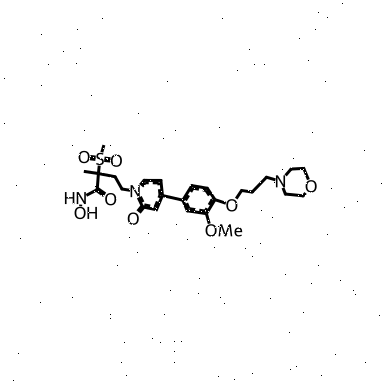 COc1cc(-c2ccn(CCC(C)(C(=O)NO)S(C)(=O)=O)c(=O)c2)ccc1OCCCN1CCOCC1